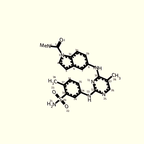 CNC(=O)n1ccc2cc(Nc3nc(Nc4ccc(C)c(S(N)(=O)=O)c4)ncc3C)ccc21